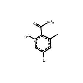 Cc1cc(Br)cc(C(F)(F)F)c1C(N)=O